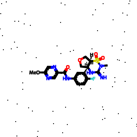 COc1cnc(C(=O)Nc2ccc(F)c([C@]34COC[C@H]3S(=O)(=O)N(C)C(=N)N4)c2)cn1